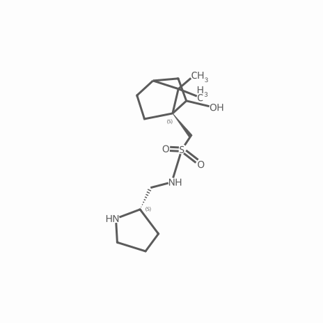 CC1(C)C2CC[C@@]1(CS(=O)(=O)NC[C@@H]1CCCN1)C(O)C2